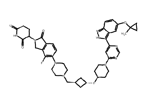 CC1(Oc2ccc3n[nH]c(-c4cc(N5CCC(O[C@H]6C[C@H](CN7CCN(c8ccc9c(c8F)CN(C8CCC(=O)NC8=O)C9=O)CC7)C6)CC5)ncn4)c3c2)CC1